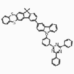 CC1(C)c2ccc(-c3ccc4c(c3)c3ccccc3n4-c3cccc(-c4nc(-c5ccccc5)nc(-c5ccccc5)n4)c3)cc2-c2cc3c(cc21)Sc1ccccc1S3